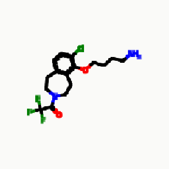 NCCCCOc1c(Cl)ccc2c1CCN(C(=O)C(F)(F)F)CC2